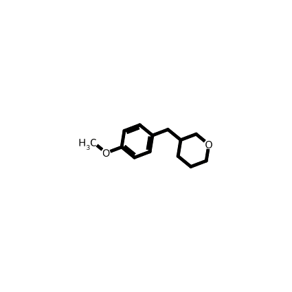 COc1ccc(CC2CCCOC2)cc1